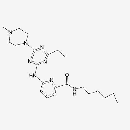 CCCCCCNC(=O)c1cccc(Nc2nc(CC)nc(N3CCN(C)CC3)n2)n1